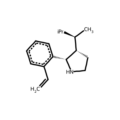 C=Cc1ccccc1[C@H]1NCC[C@H]1[C@H](C)C(C)C